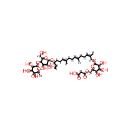 C=C[C@](C)(CC/C=C(\C)CC/C=C(\C)CC/C=C(/C)CO[C@@H]1O[C@H](COC(=O)CC(=O)O)[C@@H](O)[C@H](O)[C@H]1O)O[C@@H]1O[C@H](CO)[C@@H](O[C@@H]2O[C@@H](C)[C@H](O)[C@@H](O)[C@H]2O)[C@H](O)[C@H]1O